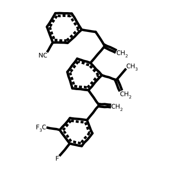 C=C(Cc1cccc(C#N)c1)c1cccc(C(=C)c2ccc(F)c(C(F)(F)F)c2)c1C(=C)C